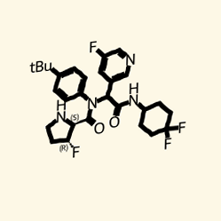 CC(C)(C)c1ccc(N(C(=O)[C@@H]2NCC[C@H]2F)C(C(=O)NC2CCC(F)(F)CC2)c2cncc(F)c2)cc1